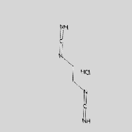 Cl.N=C=NCCN=C=N